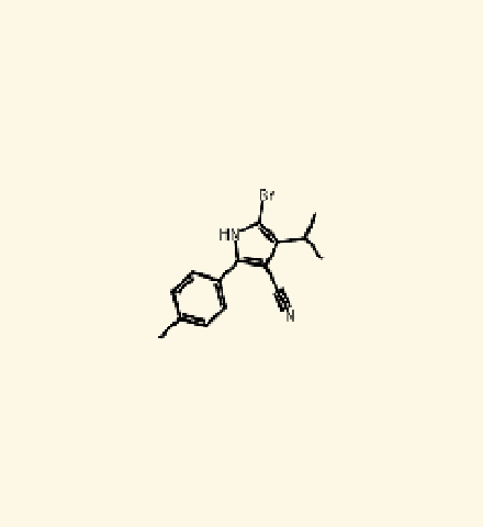 Cc1ccc(-c2[nH]c(Br)c(C(C)C)c2C#N)cc1